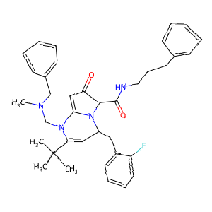 CN(Cc1ccccc1)CN1C2=CC(=O)C(C(=O)NCCCc3ccccc3)N2C(Cc2ccccc2F)C=C1C(C)(C)C